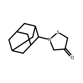 O=C1CSN(C2C3CC4CC(C3)CC2C4)C1